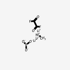 CC#N.O=C(F)C(=O)F.[Li+].[Li+].[Li+].[O-]B([O-])[O-]